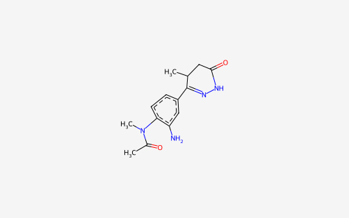 CC(=O)N(C)c1ccc(C2=NNC(=O)CC2C)cc1N